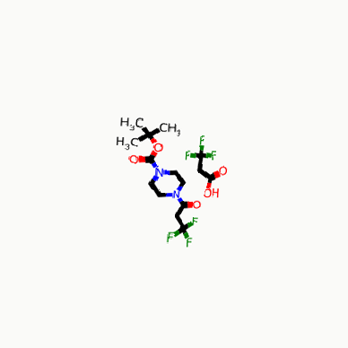 CC(C)(C)OC(=O)N1CCN(C(=O)CC(F)(F)F)CC1.O=C(O)CC(F)(F)F